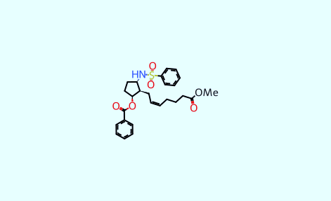 COC(=O)CCC/C=C\C[C@@H]1[C@@H](NS(=O)(=O)c2ccccc2)CC[C@@H]1OC(=O)c1ccccc1